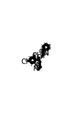 Clc1ccc(C(Cn2ccnc2)OCc2nc3ccccc3o2)c(Cl)c1